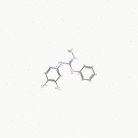 N#C/N=C(\Nc1ccc(Cl)c(Cl)c1)Oc1ccccc1